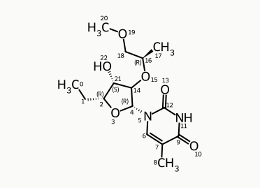 CC[C@H]1O[C@@H](n2cc(C)c(=O)[nH]c2=O)C(O[C@H](C)COC)[C@H]1O